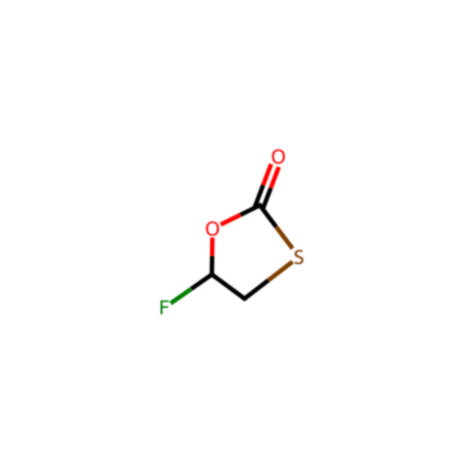 O=C1OC(F)CS1